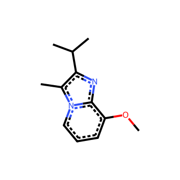 COc1cccn2c(C)c(C(C)C)nc12